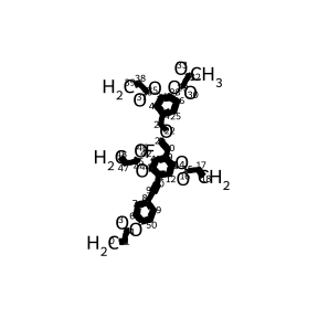 C=CC(=O)Oc1ccc(C#Cc2cc(OC(=O)C=C)c(/C=C/OCc3ccc(OC(=O)C(C)=O)c(OC(=O)C=C)c3)c(F)c2OC(=O)C=C)cc1